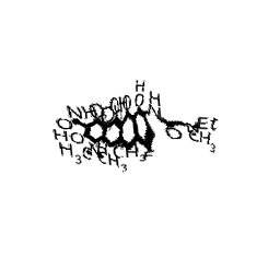 CCN(C)CC(=O)Nc1cc(F)c2c(c1O)C(=O)C1=C(O)[C@]3(O)C(=O)C(C(N)=O)=C(O)[C@@H](N(C)C)[C@@H]3C[C@]1(C)C2